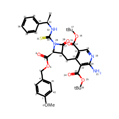 COc1ccc(COC(=O)[C@@H]2C(Cc3c(C(=O)OC(C)(C)C)cnc(N)c3C(=O)OC(C)(C)C)C(=O)N2C(=S)N[C@H](C)c2ccccc2)cc1